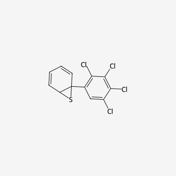 Clc1cc(C23C=CC=CC2S3)c(Cl)c(Cl)c1Cl